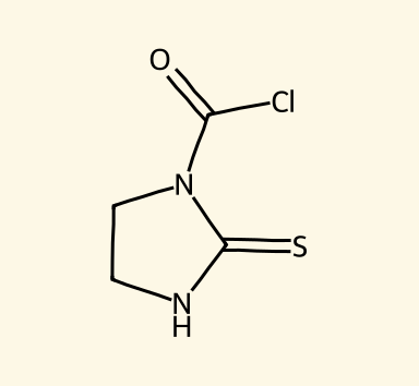 O=C(Cl)N1CCNC1=S